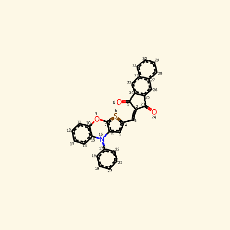 O=C1C(=Cc2cc3c(s2)Oc2ccccc2N3c2ccccc2)C(=O)c2cc3ccccc3cc21